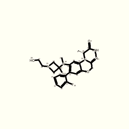 C[C@@H]1C(=O)NN=C2COc3cc(-c4ccccc4F)c(N(C)C4(C)CN(CCO)C4)cc3N21